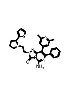 Cc1cc(-c2c(-c3ccccc3)nc(N)n3c(=O)n(CCN4CCCC4c4cccs4)nc23)cc(C)n1